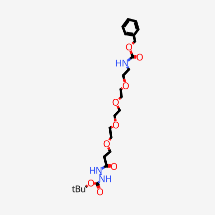 CC(C)(C)OC(=O)NNC(=O)CCOCCOCCOCCOCCNC(=O)OCc1ccccc1